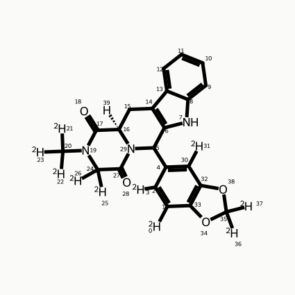 [2H]c1c([2H])c(C2c3[nH]c4ccccc4c3C[C@@H]3C(=O)N(C([2H])([2H])[2H])C([2H])([2H])C(=O)N23)c([2H])c2c1OC([2H])([2H])O2